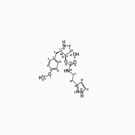 COc1ccc(C[C@H]2NC[C@H](O)[C@H]2OC(=O)NCCc2cc[nH]n2)cc1